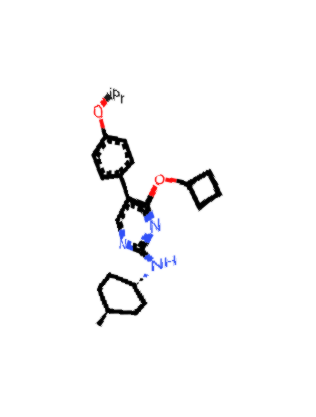 CC(C)Oc1ccc(-c2cnc(N[C@H]3CC[C@H](C)CC3)nc2OC2CCC2)cc1